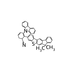 CC1(C)c2ccccc2-c2cc3c(cc21)sc1cc(C2=C(n4c5ccccc5c5ccccc54)C=CCC2C#N)ccc13